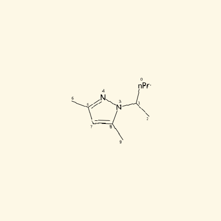 CC[CH]C(C)n1nc(C)cc1C